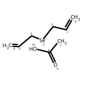 C=CC[Se]CC=C.CC(=O)O